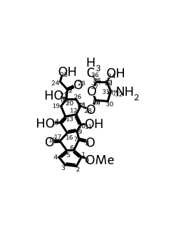 COc1cccc2c1C(=O)c1c(O)c3c(c(O)c1C2=O)C[C@](O)(C(=O)CO)C[C@H]3O[C@@H]1C[C@@H](N)[C@H](O)[C@@H](C)O1